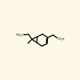 CC1(CC(=O)O)C2CC=C(CC(=O)O)CC21